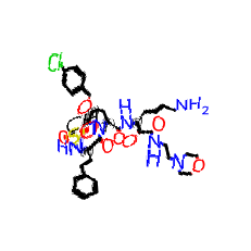 CS(=O)(=O)N[C@H](CCc1ccccc1)C(=O)N1C[C@H](OCc2ccc(Cl)cc2)C[C@H]1C(=O)N[C@@H](CCCCN)C(=O)C(=O)NCCN1CCOCC1